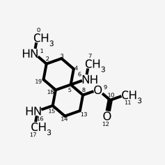 CNC1CCC2(NC)C(OC(C)=O)CCC(NC)C2C1